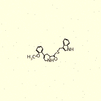 COc1ccccc1C1=CCNC(C(=O)CSCc2c[nH]c3ccccc23)C1